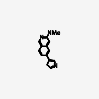 CNc1cc2cc(C3=CN=CC3)ccc2cn1